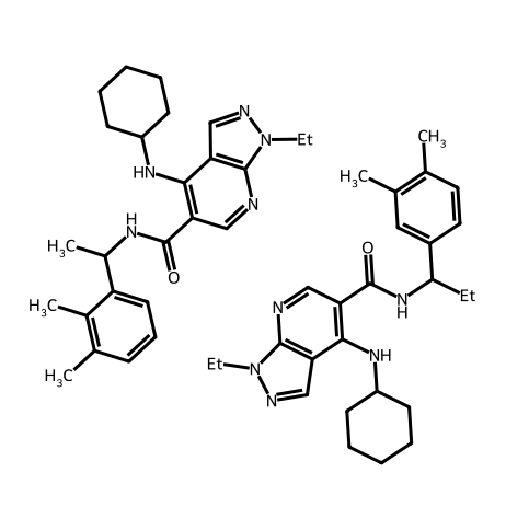 CCC(NC(=O)c1cnc2c(cnn2CC)c1NC1CCCCC1)c1ccc(C)c(C)c1.CCn1ncc2c(NC3CCCCC3)c(C(=O)NC(C)c3cccc(C)c3C)cnc21